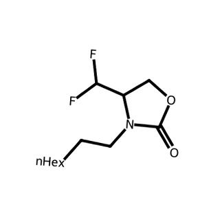 CCCCCCCCN1C(=O)OCC1C(F)F